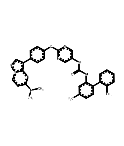 Cc1ccccc1-c1ccc(C(F)(F)F)cc1NC(=O)Nc1cnc(Oc2ccc(-c3cnn4ccc(N(C)C)nc34)cc2)nc1